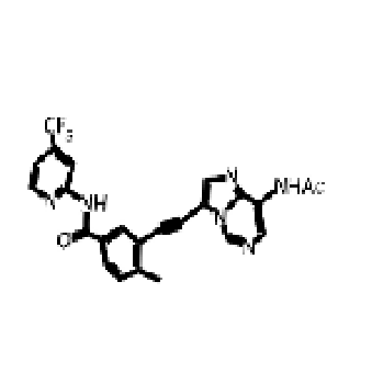 CC(=O)Nc1cncn2c(C#Cc3cc(C(=O)Nc4cc(C(F)(F)F)ccn4)ccc3C)cnc12